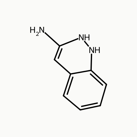 NC1=Cc2ccccc2NN1